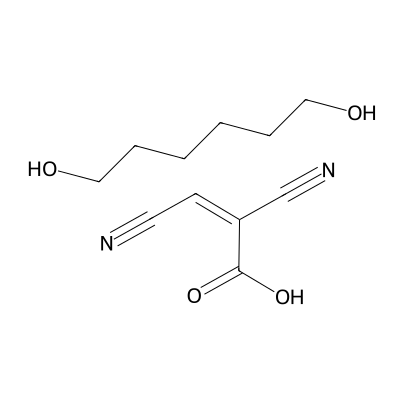 N#CC=C(C#N)C(=O)O.OCCCCCCO